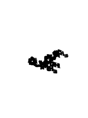 Cn1ccc(CN2N=Cc3c(n(C)c4nc(Cc5cscn5)sc34)C2O)n1